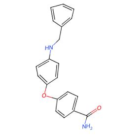 NC(=O)c1ccc(Oc2ccc(NCc3ccccc3)cc2)cc1